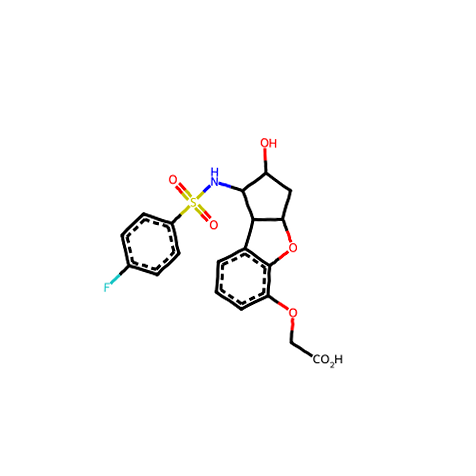 O=C(O)COc1cccc2c1OC1CC(O)C(NS(=O)(=O)c3ccc(F)cc3)C21